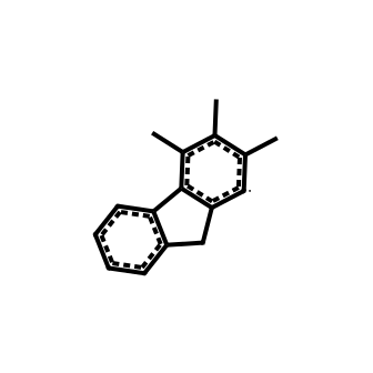 Cc1[c]c2c(c(C)c1C)-c1ccccc1C2